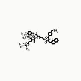 Cc1ccc(COC(=O)C(CCCCNC(=O)C(Cc2ccc3ccccc3c2)NC(=O)C2CCC(CN)CC2)NC(=O)NC(CCC(=O)OC(C)(C)C)C(=O)OC(C)(C)C)cc1